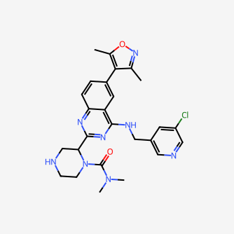 Cc1noc(C)c1-c1ccc2nc(C3CNCCN3C(=O)N(C)C)nc(NCc3cncc(Cl)c3)c2c1